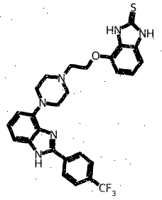 FC(F)(F)c1ccc(-c2nc3c(N4CCN(CCOc5cccc6[nH]c(=S)[nH]c56)CC4)cccc3[nH]2)cc1